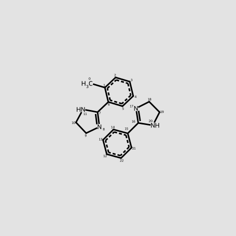 Cc1ccccc1C1=NCCN1.c1ccc(C2=NCCN2)cc1